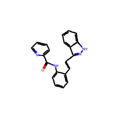 O=C(Nc1ccccc1C=Cc1n[nH]c2ccccc12)c1ccccn1